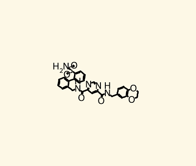 NS(=O)(=O)c1ccccc1-c1ccccc1CNC(=O)c1cc(C(=O)NCc2ccc3c(c2)OCCO3)ncn1